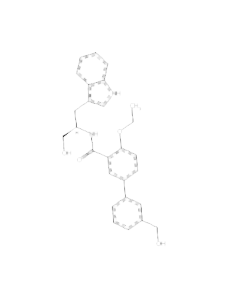 CCOc1ccc(-c2cccc(CO)c2)cc1C(=O)N[C@@H](CO)Cc1c[nH]c2ccccc12